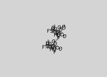 CCC(=O)O[C@H]1C[C@@]2(C)[C@@H](C[C@@H](C)[C@]2(OC(=O)CC)C(=O)SCF)[C@@H]2C[C@H](F)C3=CC(=O)C=C[C@]3(C)[C@@]12F.CCC(=O)O[C@]1(C(=O)SCF)[C@H](C)C[C@H]2[C@@H]3C[C@H](F)C4=CC(=O)C=C[C@]4(C)[C@@]3(F)[C@@H](OC(=O)c3ccco3)C[C@@]21C